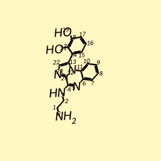 NCCNc1nc2ccccc2n2c(-c3cccc(O)c3O)cnc12